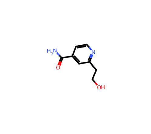 NC(=O)c1ccnc(CCO)c1